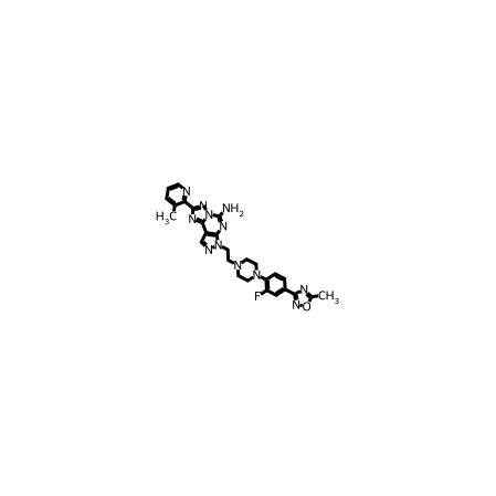 Cc1nc(-c2ccc(N3CCN(CCn4ncc5c4nc(N)n4nc(-c6ncccc6C)nc54)CC3)c(F)c2)no1